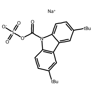 CC(C)(C)c1ccc2c(c1)c1cc(C(C)(C)C)ccc1n2C(=O)OS(=O)(=O)[O-].[Na+]